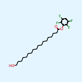 O=C(CCCCCCCCCCCCCCCCCO)Oc1c(F)c(F)cc(F)c1F